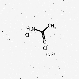 CC(N)=O.[Ca+2].[Cl-].[Cl-]